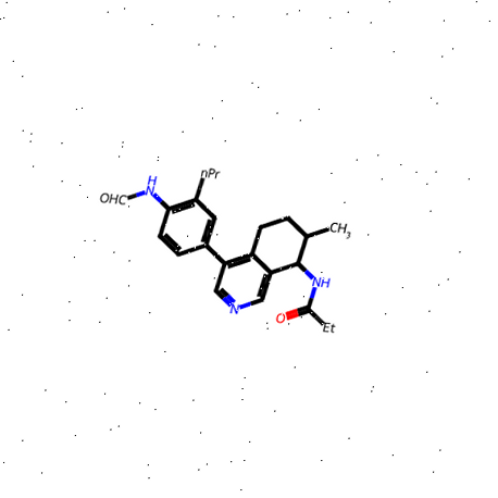 CCCc1cc(-c2cncc3c2CCC(C)C3NC(=O)CC)ccc1NC=O